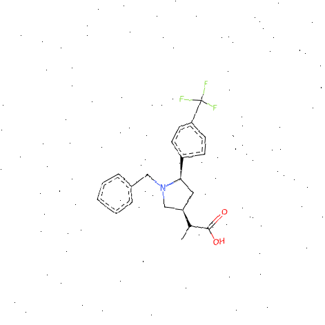 CC(C(=O)O)[C@@H]1C[C@H](c2ccc(C(F)(F)F)cc2)N(Cc2ccccc2)C1